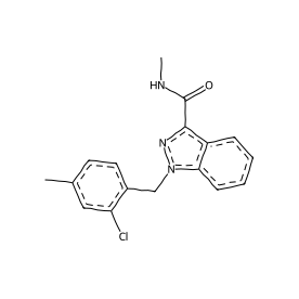 CNC(=O)c1nn(Cc2ccc(C)cc2Cl)c2ccccc12